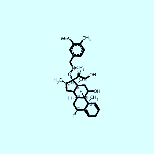 COc1cc(CN(C)O[C@]2(C(=O)CO)[C@H](C)CC3[C@@H]4C[C@H](F)C5=CCC=C[C@]5(C)[C@@]4(F)C(O)C[C@@]32C)ccc1C